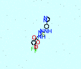 CO[C@@](C=O)(CNc1nnc(N[C@H]2CC[C@H](c3cccnn3)CC2)s1)c1cccc(OC(F)F)c1